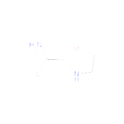 NC(=S)C1NCCO1